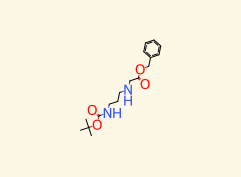 CC(C)(C)OC(=O)NCCCNCC(=O)OCc1ccccc1